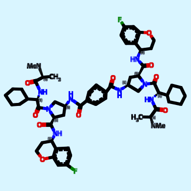 CN[C@@H](C)C(=O)N[C@H](C(=O)N1C[C@@H](NC(=O)c2ccc(C(=O)N[C@H]3C[C@@H](C(=O)N[C@@H]4CCOc5cc(F)ccc54)N(C(=O)[C@@H](NC(=O)[C@H](C)NC)C4CCCCC4)C3)cc2)C[C@H]1C(=O)N[C@@H]1CCOc2cc(F)ccc21)C1CCCCC1